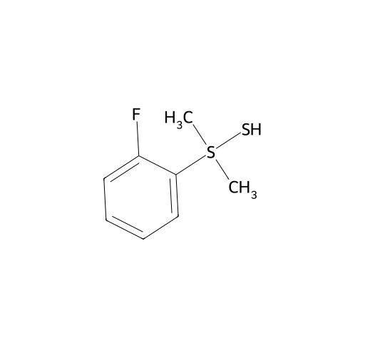 CS(C)(S)c1ccccc1F